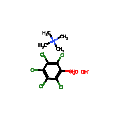 C[N+](C)(C)C.O.Oc1c(Cl)c(Cl)c(Cl)c(Cl)c1Cl.[OH-]